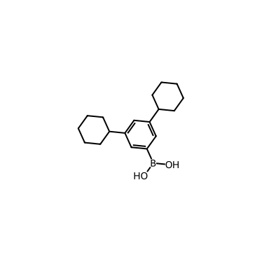 OB(O)c1cc(C2CCCCC2)cc(C2CCCCC2)c1